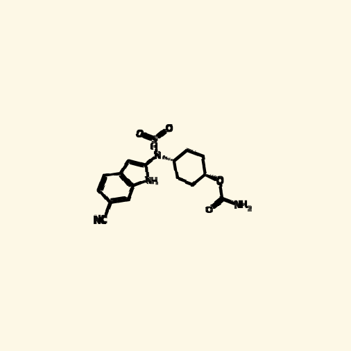 N#Cc1ccc2cc(N([C@H]3CC[C@H](OC(N)=O)CC3)[SH](=O)=O)[nH]c2c1